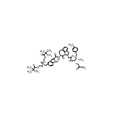 Cc1ccc(CO[C@H](C)[C@H](CCC(N)=O)NC(=O)C[C@@H]2Cc3cccc4c3N2C(=O)[C@@H](NC(=O)c2cc3cc(CP(=O)(OCOC(=O)C(C)(C)C)OCOC(=O)C(C)(C)C)ccc3[nH]2)CC4)cc1